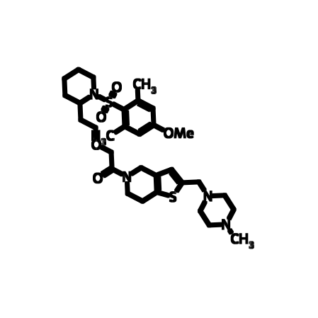 COc1cc(C)c(S(=O)(=O)N2CCCCC2CCOCC(=O)N2CCc3sc(CN4CCN(C)CC4)cc3C2)c(C)c1